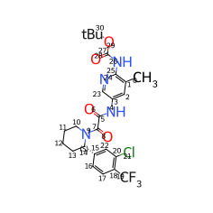 Cc1cc(NC(=O)C(=O)N2CCCC[C@H]2c2ccc(C(F)(F)F)c(Cl)c2)cnc1NC(=O)OC(C)(C)C